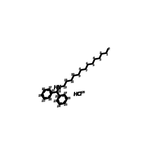 CCCCCCCCCCCCCCNC(c1ccccc1)c1ccccc1.Cl